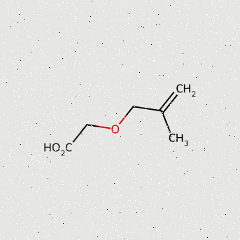 C=C(C)COCC(=O)O